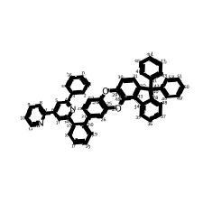 c1ccc(-c2cc(-c3ccccn3)cc(-c3ccccc3-c3ccc4c(c3)Oc3c(ccc5c3-c3ccccc3C5(c3ccccc3)c3ccccc3)O4)n2)cc1